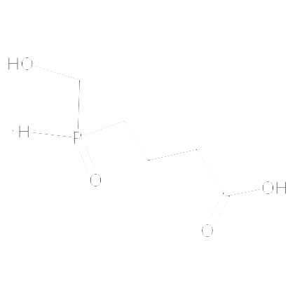 [2H]P(=O)(CO)CCCC(=O)O